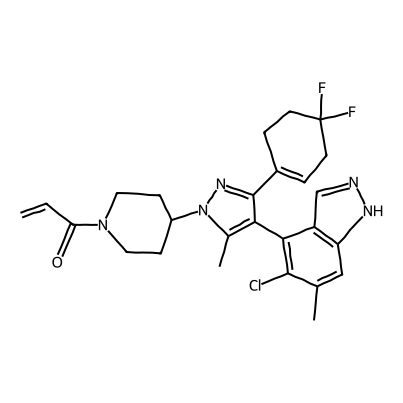 C=CC(=O)N1CCC(n2nc(C3=CCC(F)(F)CC3)c(-c3c(Cl)c(C)cc4[nH]ncc34)c2C)CC1